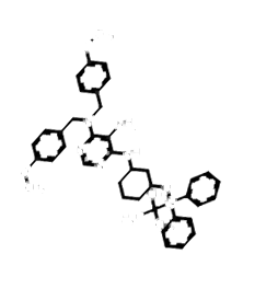 COc1ccc(CN(Cc2ccc(OC)cc2)c2ncnc(NC3CCCC(O[Si](c4ccccc4)(c4ccccc4)C(C)(C)C)C3)c2N)cc1